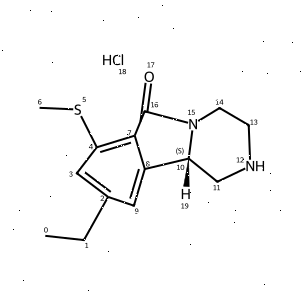 CCc1cc(SC)c2c(c1)[C@H]1CNCCN1C2=O.Cl